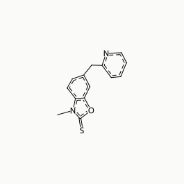 Cn1c(=S)oc2cc(Cc3ccccn3)ccc21